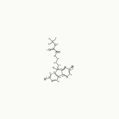 CC(C)(C)OC(=O)NCCCCC1(C)c2cc(Br)ccc2-c2ccc(Br)cc21